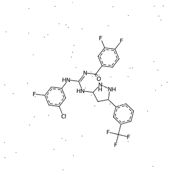 O=C(/N=C(/Nc1cc(F)cc(Cl)c1)NC1CC(c2cccc(C(F)(F)F)c2)NN1)c1ccc(F)c(F)c1